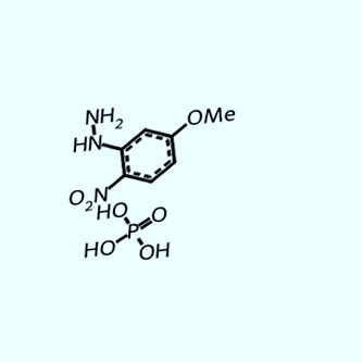 COc1ccc([N+](=O)[O-])c(NN)c1.O=P(O)(O)O